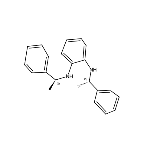 C[C@H](Nc1ccccc1N[C@@H](C)c1ccccc1)c1ccccc1